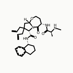 C=CCC1(CC=C)C[C@@H]2OCC[C@H](NC(=O)[C@H](C)NC)C(=O)N2[C@@H]1C(=O)N[C@@H]1CCCc2ccccc21